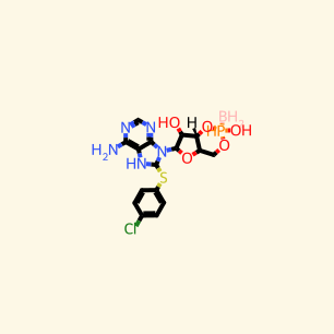 B[PH]1(O)OCC2OC(N3c4ncnc(N)c4NC3Sc3ccc(Cl)cc3)C(O)[C@@H]2O1